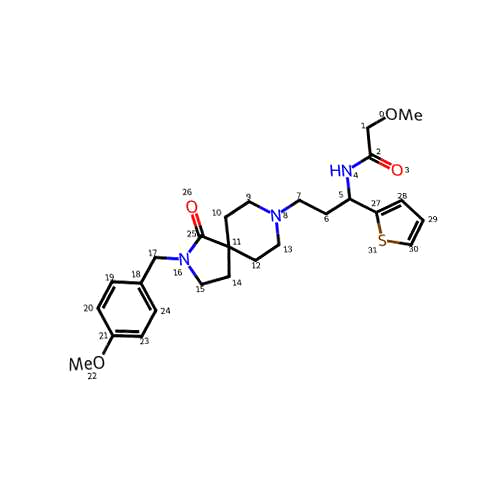 COCC(=O)NC(CCN1CCC2(CC1)CCN(Cc1ccc(OC)cc1)C2=O)c1cccs1